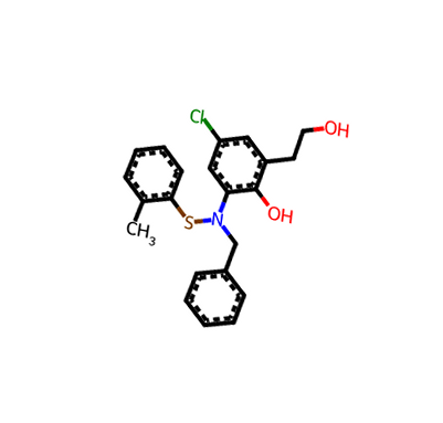 Cc1ccccc1SN(Cc1ccccc1)c1cc(Cl)cc(CCO)c1O